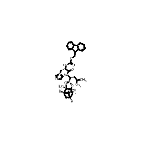 CC(C)C[C@H](NC(=O)[C@H](Cn1ccnc1)NC(=O)OCC1c2ccccc2-c2ccccc21)B1O[C@@H]2C[C@@H]3C[C@@H](C3(C)C)[C@]2(C)O1